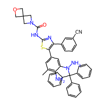 Cc1cc(-c2sc(NC(=O)N3CC4(COC4)C3)nc2-c2cccc(C#N)c2)cc(N(N)C(c2ccccc2)(c2ccccc2)c2ccccc2)c1N